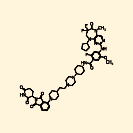 COc1cc(C(=O)N[C@H]2CC[C@H](N3CCN(CCC4CCN(c5cccc6c5C(=O)N(C5CCC(=O)NC5=O)C6=O)CC4)CC3)CC2)c(F)cc1Nc1ncc2c(n1)N(C1CCCC1)CC(F)(F)C(=O)N2C